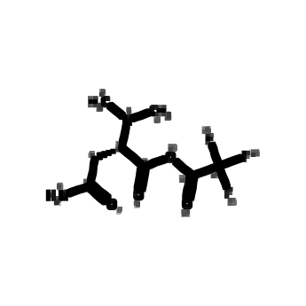 CN(C)[C@@H](CC(N)=O)C(=O)OC(=O)C(F)(F)F